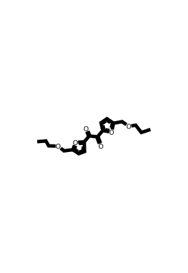 CCCOCc1ccc(C(=O)C(=O)c2ccc(COCCC)o2)o1